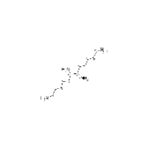 NCCCCCC(N)C(N)CCCCCN